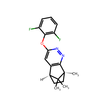 CC1(C)[C@H]2CC[C@]1(C)c1nnc(Oc3c(F)cccc3F)cc12